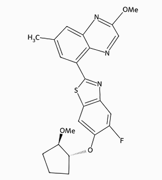 COc1cnc2c(-c3nc4cc(F)c(O[C@@H]5CCC[C@H]5OC)cc4s3)cc(C)cc2n1